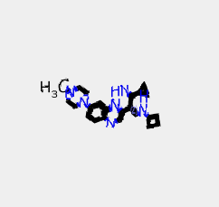 CN1CCN(c2ccc3ncc(/C(=C/NC4CCC4)C(=N)C4CC4)nc3c2)CC1